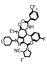 CCN1C(=O)[C@@H](NC(=O)c2cccc(C(F)(F)F)c2)[C@@H](c2ccc(F)cc2)c2c(C(=O)N3CC[C@H](F)[C@H]3C#N)nn(C3CCOCC3)c21